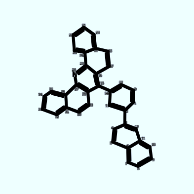 c1cc(-c2ccc3ccccc3c2)cc(-c2c3ccc4ccccc4c3nc3c2ccc2ccccc23)c1